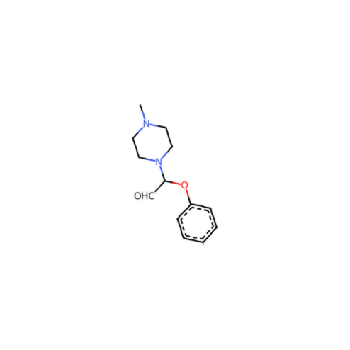 CN1CCN(C(C=O)Oc2cc[c]cc2)CC1